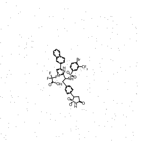 O=C(O)C(F)(F)F.O=C1CC(c2ccc(CC(NS(=O)(=O)c3ccc(Br)c(C(F)(F)F)c3)c3ncc(-c4ccc5ccccc5c4)[nH]3)cc2)S(=O)(=O)N1